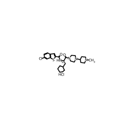 CN1CCC(N2CCN(C(=O)[C@@H](CC3CCCCC3)NC(=O)c3cc4ccc(Cl)cc4s3)CC2)CC1.Cl